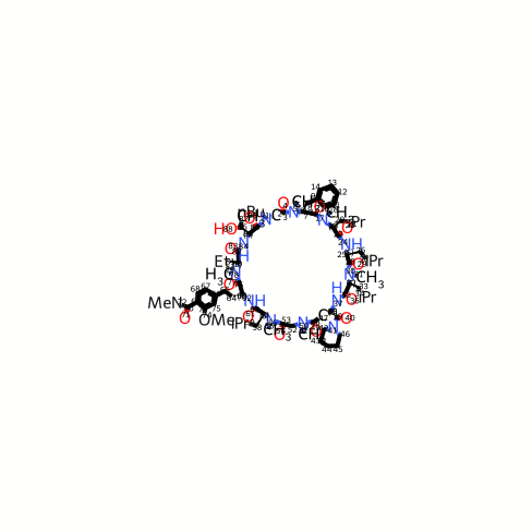 CCCCN1CC(=O)N(C)[C@@H](Cc2ccccc2)C(=O)N(C)[C@@H](CC(C)C)C(=O)N[C@@H](CC(C)C)C(=O)N(C)[C@@H](CC(C)C)C(=O)N[C@H](C(=O)N2CCCCC2)CC(=O)N(C)CC(=O)N(C)[C@@H](CC(C)C)C(=O)N[C@H](CCc2ccc(C(=O)NC)c(OC)c2)C(=O)N(C)[C@@H](CC)C(=O)N[C@@H](C(C)O)C1=O